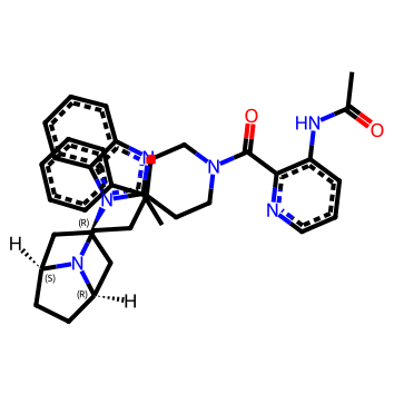 CC(=O)Nc1cccnc1C(=O)N1CCC(CCN2[C@@H]3CC[C@H]2C[C@@H](n2c(C)nc4ccccc42)C3)(c2ccccc2)CC1